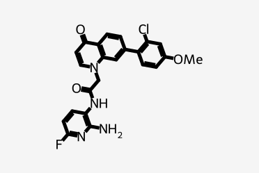 COc1ccc(-c2ccc3c(=O)ccn(CC(=O)Nc4ccc(F)nc4N)c3c2)c(Cl)c1